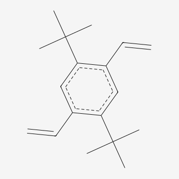 C=Cc1cc(C(C)(C)C)c(C=C)cc1C(C)(C)C